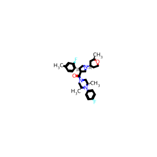 Cc1ccc([C@@H]2CN([C@@H]3CCO[C@H](C)C3)CC2C(=O)N2C[C@@H](C)N(c3ccc(F)cc3)[C@@H](C)C2)c(F)c1